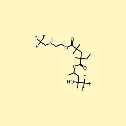 CCC(C)(CC(C)(C)C(=O)OCCNCC(F)(F)F)C(=O)OC(C)CC(C)(O)C(F)(F)F